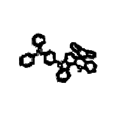 c1ccc(N(c2ccccc2)c2ccc(-n3c4ccccc4c4c5c(ccc43)C3(c4ccccc4S5)c4ccccc4-c4ccccc43)cc2)cc1